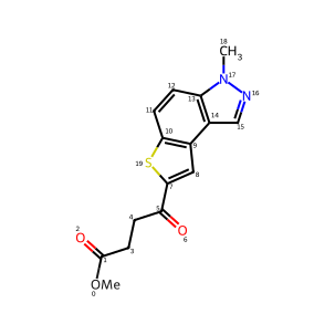 COC(=O)CCC(=O)c1cc2c(ccc3c2cnn3C)s1